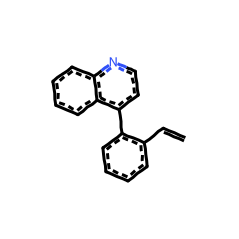 C=Cc1ccccc1-c1ccnc2ccccc12